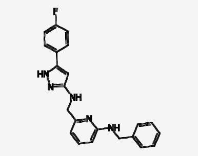 Fc1ccc(-c2cc(NCc3cccc(NCc4ccccc4)n3)n[nH]2)cc1